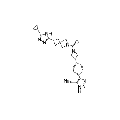 N#Cc1[nH]nnc1-c1ccc(C2CN(C(=O)N3CC4(CC(c5nnc(C6CC6)[nH]5)C4)C3)C2)cc1